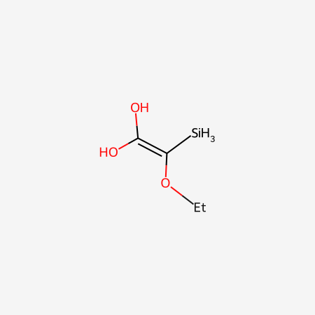 CCOC([SiH3])=C(O)O